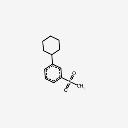 CS(=O)(=O)c1cccc(C2CCCCC2)c1